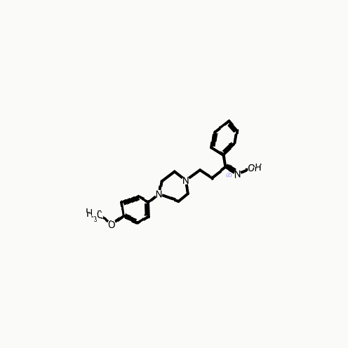 COc1ccc(N2CCN(CC/C(=N/O)c3ccccc3)CC2)cc1